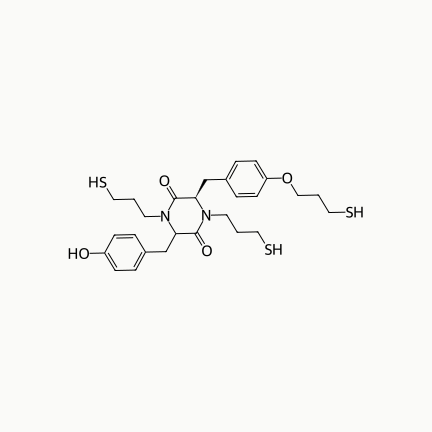 O=C1[C@@H](Cc2ccc(OCCCS)cc2)N(CCCS)C(=O)C(Cc2ccc(O)cc2)N1CCCS